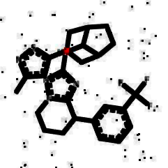 Cc1cc(N2CC3CCC(C2)C3Nc2nc3n(n2)CCCC3c2cccc(C(F)(F)F)c2)sn1